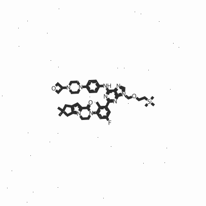 [CH2]c1c(-c2nc(Nc3ccc(N4CCN(C5COC5)CC4)cc3)c3ncn(COCC[Si](C)(C)C)c3n2)cc(F)cc1N1CCn2c(cc3c2CC(C)(C)C3)C1=O